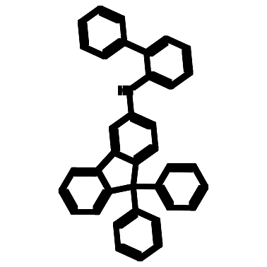 c1ccc(-c2ccccc2Nc2ccc3c(c2)-c2ccccc2C3(c2ccccc2)c2ccccc2)cc1